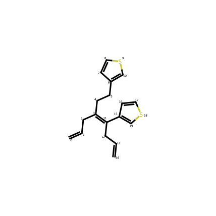 C=CCC(CCc1ccsc1)=C(CC=C)c1ccsc1